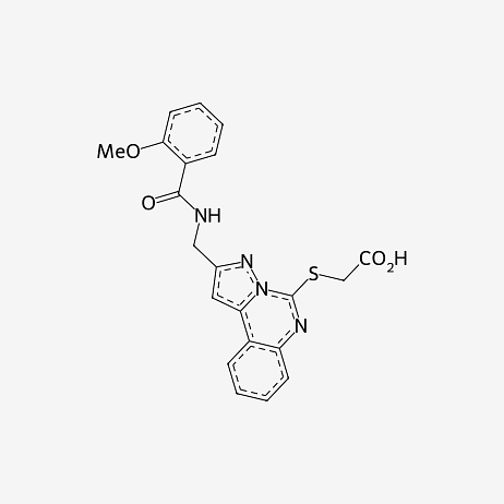 COc1ccccc1C(=O)NCc1cc2c3ccccc3nc(SCC(=O)O)n2n1